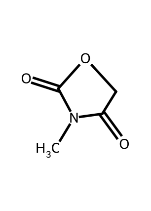 CN1C(=O)COC1=O